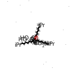 CC(=O)C(CCCCCCC(C)C)(C(=O)O)C(OCCCCCCC(C)C)(C(=O)O)C(CCCCCCC(C)C)C(=O)O